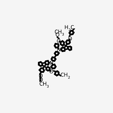 C=Cc1ccc(COc2ccc(C3(c4ccc(COCOCC)cc4)c4ccccc4-c4ccc(N(c5ccccc5)c5ccc(-c6ccc(N(c7ccccc7)c7ccc8c(c7)C(c7ccc(OCCOCC)cc7)(c7ccc(OCc9ccc(C=C)cc9)cc7)c7ccccc7-8)cc6)cc5)cc43)cc2)cc1